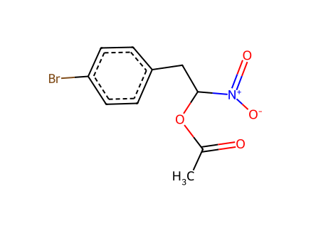 CC(=O)OC(Cc1ccc(Br)cc1)[N+](=O)[O-]